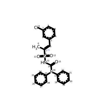 C/C(=C\c1cccc(Cl)c1)S(=O)(=O)NC(=O)N(c1ccccc1)c1ccccc1